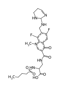 CCCCS(=O)(=O)NC(CNC(=O)c1cn(C)c2c(F)c(CNC3N=CCCN3)c(F)cc2c1=O)C(=O)O